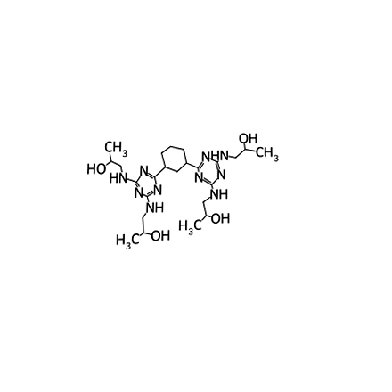 CC(O)CNc1nc(NCC(C)O)nc(C2CCCC(c3nc(NCC(C)O)nc(NCC(C)O)n3)C2)n1